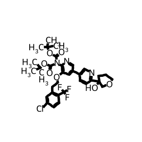 CC(C)(C)OC(=O)N(C(=O)OC(C)(C)C)c1ncc(-c2ccc(C3(O)CCCOC3)nc2)cc1OCCc1cc(Cl)ccc1C(F)(F)F